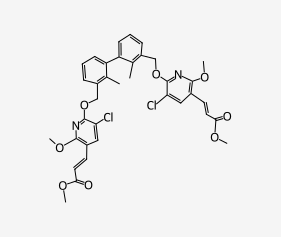 COC(=O)/C=C/c1cc(Cl)c(OCc2cccc(-c3cccc(COc4nc(OC)c(/C=C/C(=O)OC)cc4Cl)c3C)c2C)nc1OC